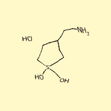 Cl.NCC1CCS(O)(O)C1